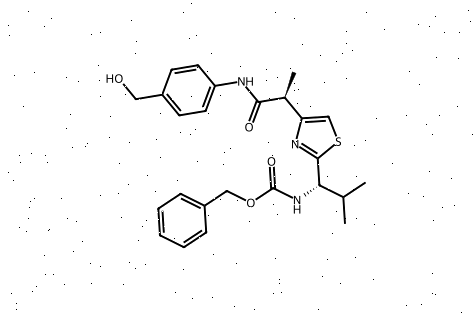 CC(C)[C@H](NC(=O)OCc1ccccc1)c1nc([C@H](C)C(=O)Nc2ccc(CO)cc2)cs1